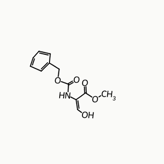 COC(=O)C(=CO)NC(=O)OCc1ccccc1